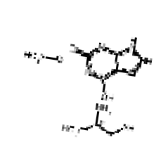 N[C@@H](CS)C(=O)O.O=S(=O)(O)O.O=c1nc2[nH][nH]cc-2c(O)n1